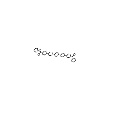 O=C(Oc1ccccc1)c1ccc(-c2ccc(-c3ccc(-c4ccc(-c5ccc(C(=O)c6ccccc6)cc5)cc4)cc3)cc2)cc1